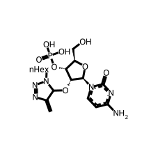 C=C1N=NN(CCCCCC)C1O[C@@H]1[C@H](OP(=O)(O)O)[C@@H](CO)O[C@H]1n1ccc(N)nc1=O